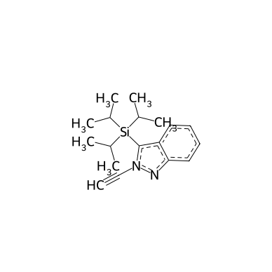 C#Cn1nc2ccccc2c1[Si](C(C)C)(C(C)C)C(C)C